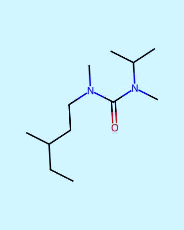 CCC(C)CCN(C)C(=O)N(C)C(C)C